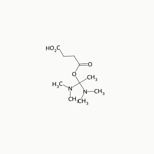 CN(C)C(C)(OC(=O)CCC(=O)O)N(C)C